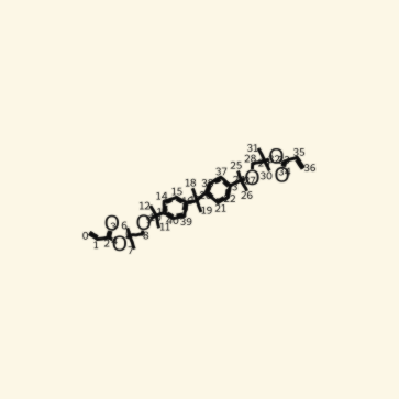 C=CC(=O)OC(C)(C)COC(C)(C)c1ccc(C(C)(C)c2ccc(C(C)(C)OCC(C)(C)OC(=O)C=C)cc2)cc1